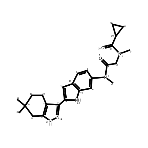 CN(CC(=O)N(C)c1ccc2cc(-c3n[nH]c4c3CCC(C)(C)C4)[nH]c2c1)C(=O)C1CC1